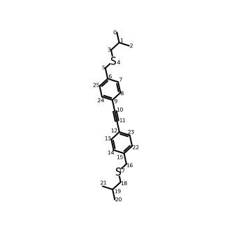 CC(C)CSCc1ccc(C#Cc2ccc(CSCC(C)C)cc2)cc1